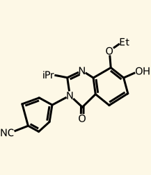 CCOc1c(O)ccc2c(=O)n(-c3ccc(C#N)cc3)c(C(C)C)nc12